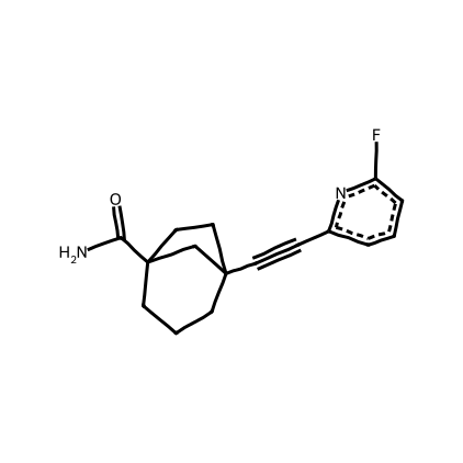 NC(=O)C12CCCC(C#Cc3cccc(F)n3)(CC1)C2